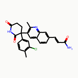 Cc1ccc(C2(c3cc4ccc(C=CC(N)=O)cc4nc3C)CCC(=O)NC2=O)cc1Cl